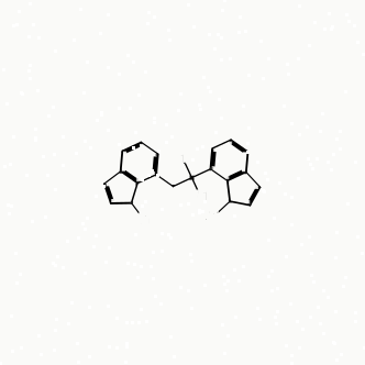 ClC(Cl)(Cc1cccc2c1[CH]([Zr])C=C2)c1cccc2c1[CH]([Zr])C=C2